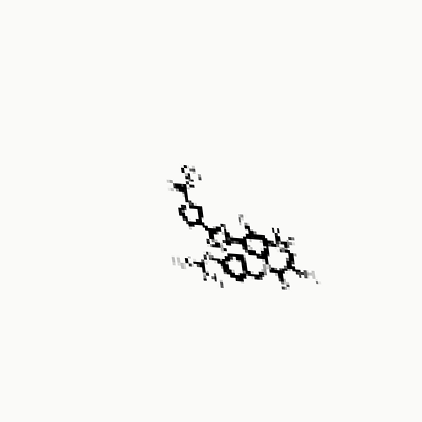 COC(=O)N1CCC(c2nc(-c3cc4c(cc3F)S(=O)(=O)C=C(N)C(=O)N4Cc3ccc(OC(C)C)cc3)no2)C1